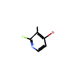 Cc1c(Br)ccnc1F